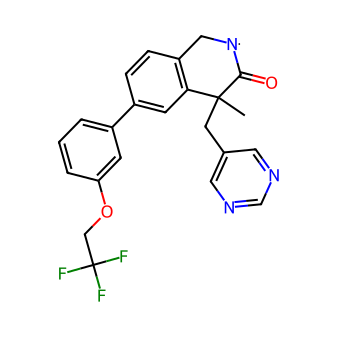 CC1(Cc2cncnc2)C(=O)[N]Cc2ccc(-c3cccc(OCC(F)(F)F)c3)cc21